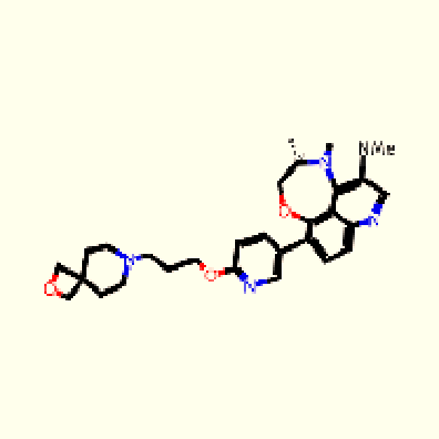 CNc1cnc2ccc(-c3ccc(OCCCN4CCC5(CC4)COC5)nc3)c3c2c1N(C)[C@@H](C)CO3